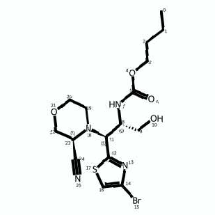 CCCCOC(=O)N[C@H](CO)[C@@H](c1nc(Br)cs1)N1CCOC[C@@H]1C#N